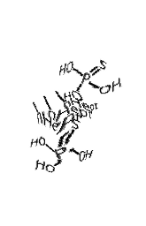 CCCCCCCC.CCCCCCCC.CCCCCCCC.OP(O)(O)=S.OP(O)(O)=S